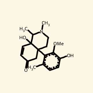 COc1c(O)ccc(C)c1C12CCN(C)C(C)C1(O)C=CC(=O)C2